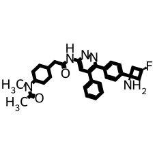 CC(=O)N(C)C1CCC(CC(=O)Nc2cc(-c3ccccc3)c(-c3ccc([C@]4(N)C[C@@H](F)C4)cc3)nn2)CC1